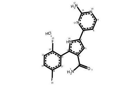 Cl.NC(=O)c1cc(-c2ccnc(N)n2)[nH]c1-c1cc(F)ccc1F